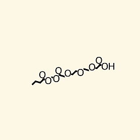 CCCC(=O)OCOC(=O)COCCOCCOCC(=O)O